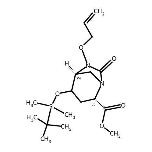 C=CCON1C(=O)N2C[C@H]1C(O[Si](C)(C)C(C)(C)C)C[C@H]2C(=O)OC